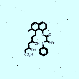 CCCC(Oc1ccccc1)C(=O)OC1CCC=C2C=CC(C)C(CCC(O)CC(O)CC(=O)O)C21